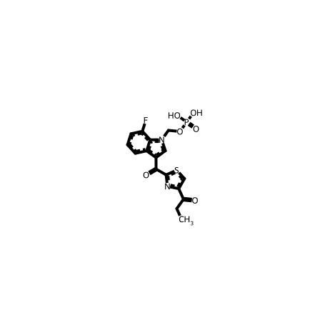 CCC(=O)c1csc(C(=O)c2cn(COP(=O)(O)O)c3c(F)cccc23)n1